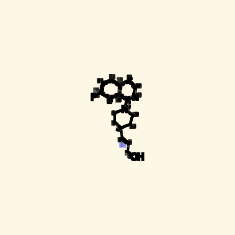 OC/C=C/C1CCN(c2nccc3ccc(F)cc23)CC1